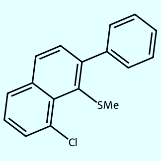 CSc1c(-c2ccccc2)ccc2cccc(Cl)c12